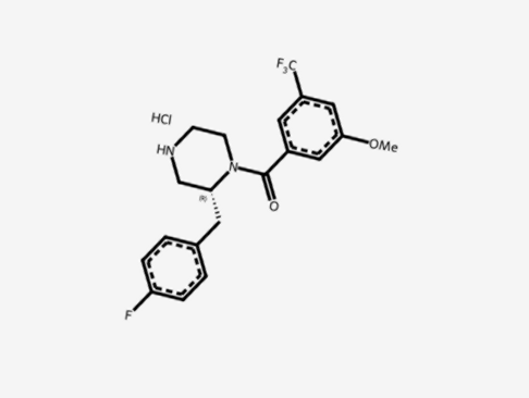 COc1cc(C(=O)N2CCNC[C@H]2Cc2ccc(F)cc2)cc(C(F)(F)F)c1.Cl